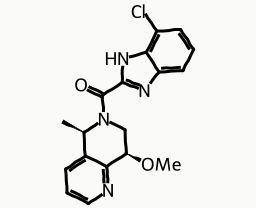 CO[C@@H]1CN(C(=O)c2nc3cccc(Cl)c3[nH]2)[C@H](C)c2cccnc21